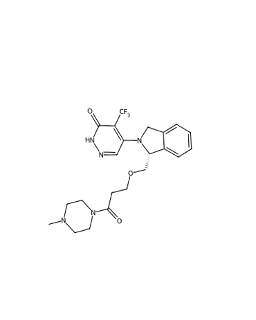 CN1CCN(C(=O)CCOC[C@H]2c3ccccc3CN2c2cn[nH]c(=O)c2C(F)(F)F)CC1